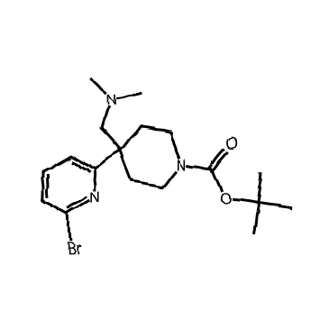 CN(C)CC1(c2cccc(Br)n2)CCN(C(=O)OC(C)(C)C)CC1